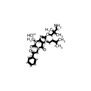 CC(C)=CCn1c(OCC(C)(C)CN)nc2c1c(=O)n(CC(=O)c1ccccc1)c(=O)n2C.Cl